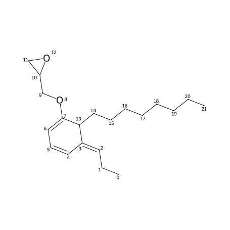 CCC=C1C=CC=C(OCC2CO2)C1CCCCCCCC